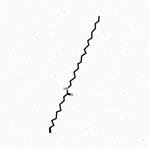 C=CCCCCCCCCC(=O)NCCCCCCCCCCCCCCCCCC